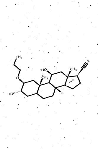 CCCO[C@H]1C[C@@]2(C)C(CC[C@@H]3C2[C@@H](O)C[C@]2(C)[C@@H](C#N)CC[C@@H]32)C[C@@H]1O